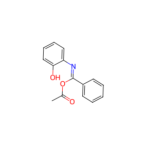 CC(=O)OC(=Nc1ccccc1O)c1ccccc1